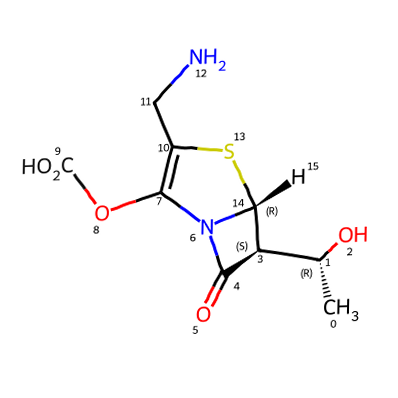 C[C@@H](O)[C@H]1C(=O)N2C(OC(=O)O)=C(CN)S[C@H]12